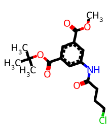 COC(=O)c1cc(NC(=O)CCCCl)cc(C(=O)OC(C)(C)C)c1